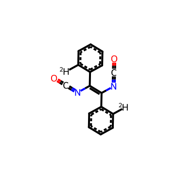 [2H]c1ccccc1C(N=C=O)=C(N=C=O)c1ccccc1[2H]